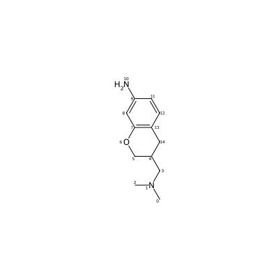 CN(C)CC1COc2cc(N)ccc2C1